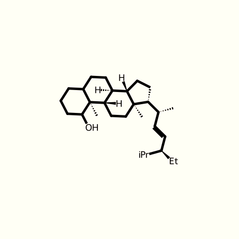 CC[C@H](/C=C/[C@@H](C)[C@H]1CC[C@H]2[C@@H]3CCC4CCCC(O)[C@]4(C)[C@H]3CC[C@]12C)C(C)C